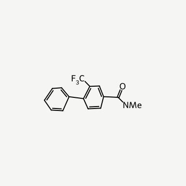 CNC(=O)c1ccc(-c2ccccc2)c(C(F)(F)F)c1